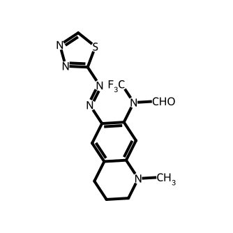 CN1CCCc2cc(N=Nc3nncs3)c(N(C=O)C(F)(F)F)cc21